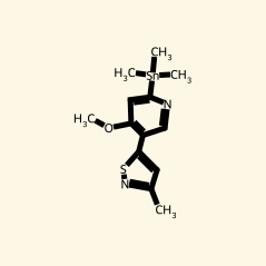 COc1c[c]([Sn]([CH3])([CH3])[CH3])ncc1-c1cc(C)ns1